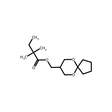 CCC(C)(C)C(=O)OCC1COC2(CCCC2)OC1